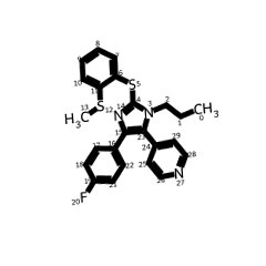 CCCn1c(Sc2ccccc2SC)nc(-c2ccc(F)cc2)c1-c1ccncc1